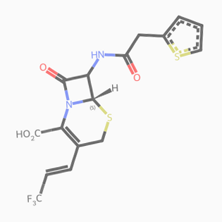 O=C(Cc1cccs1)NC1C(=O)N2C(C(=O)O)=C(C=CC(F)(F)F)CS[C@@H]12